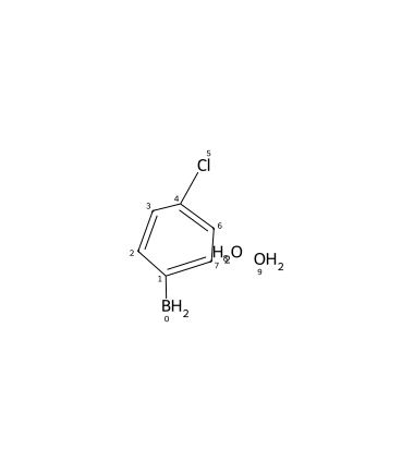 Bc1ccc(Cl)cc1.O.O